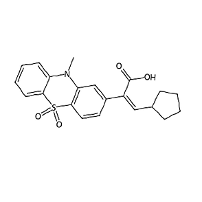 CN1c2ccccc2S(=O)(=O)c2ccc(C(=CC3CCCC3)C(=O)O)cc21